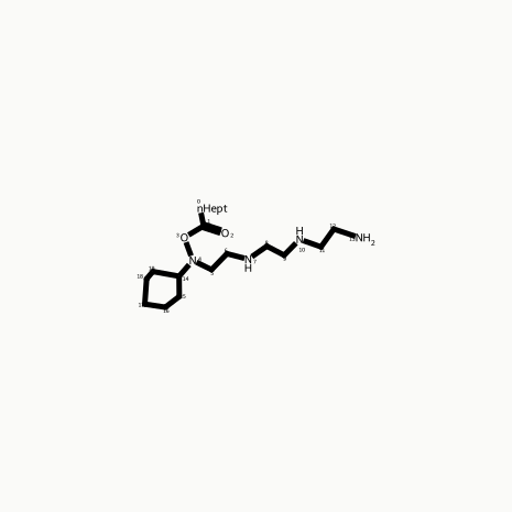 CCCCCCCC(=O)ON(CCNCCNCCN)C1CCCCC1